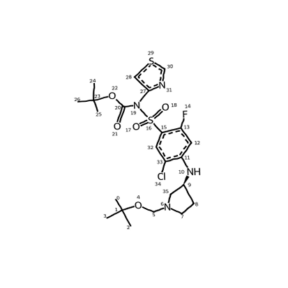 CC(C)(C)OCN1CC[C@H](Nc2cc(F)c(S(=O)(=O)N(C(=O)OC(C)(C)C)c3cscn3)cc2Cl)C1